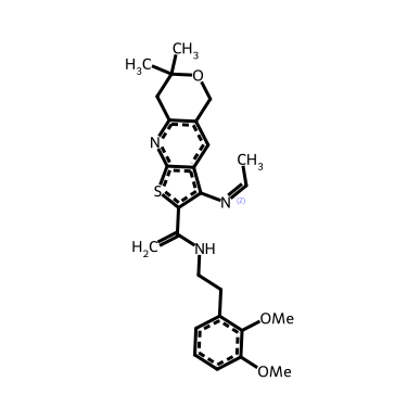 C=C(NCCc1cccc(OC)c1OC)c1sc2nc3c(cc2c1/N=C\C)COC(C)(C)C3